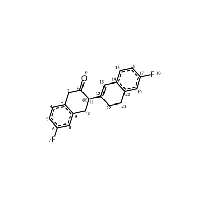 O=C1Cc2ccc(F)cc2C[C@@H]1C1=Cc2ccc(F)cc2CC1